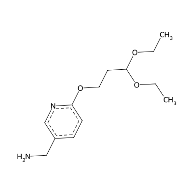 CCOC(CCOc1ccc(CN)cn1)OCC